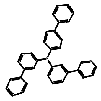 c1ccc(-c2ccc(P(c3cccc(-c4ccccc4)c3)c3cccc(-c4ccccc4)c3)cc2)cc1